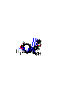 C[C@H]1NC(=O)[C@@H]2C[C@H]2CCCCCn2c(-c3nc4cc(C(=O)N[C@H]5CNCC[C@@H]5F)c(F)cc4n3[C@H]3C[C@@H]3C)cc3ccc1nc32